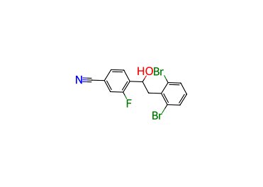 N#Cc1ccc(C(O)Cc2c(Br)cccc2Br)c(F)c1